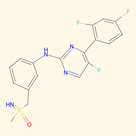 CS(=N)(=O)Cc1cccc(Nc2ncc(F)c(-c3ccc(F)cc3F)n2)c1